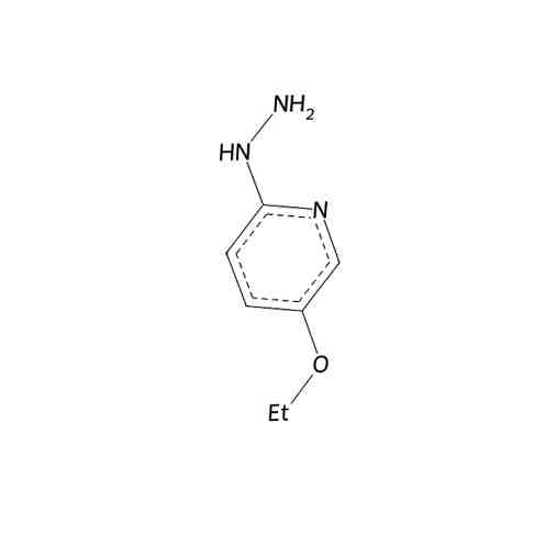 CCOc1ccc(NN)nc1